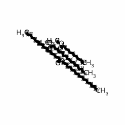 CCCCCCCCCCCC(=O)OCC.CCCCCCCCCCCCCCCCCC(=O)OC.CCCCCCCCCCCCCCCCCCOC(=O)CCCCCCCCCCCCCCCCC